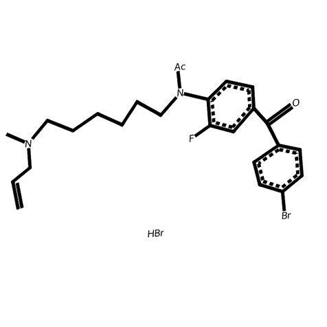 Br.C=CCN(C)CCCCCCN(C(C)=O)c1ccc(C(=O)c2ccc(Br)cc2)cc1F